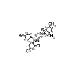 Cc1ccc(C)c(S(=O)(=O)NCC2=NN(c3ccc(Cl)cc3Cl)C(c3ccc(Br)cc3)C2)c1